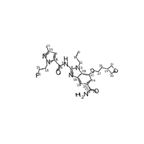 CCCn1c(NC(=O)c2cc(C)nn2CCF)nc2cc(C(N)=O)cc(OCCC3COC3)c21